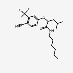 CCCCCCNC(=O)C(CC(C)C)Oc1ccc(C#N)c(C(F)(F)F)c1